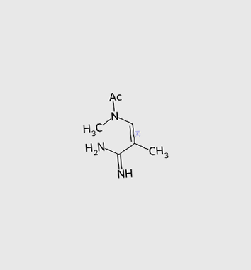 CC(=O)N(C)/C=C(/C)C(=N)N